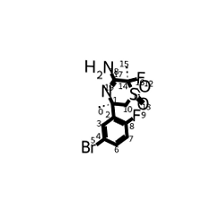 C[C@@]1(c2cc(Br)ccc2F)CS(=O)(=O)[C@](C)(F)C(N)=N1